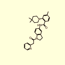 Cc1ccc(C(=O)Nc2ccc3c(c2)CCN3C(=O)Cc2ccccn2)c(N2CCC(C)(C)CC2)c1